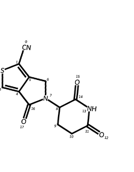 N#Cc1scc2c1CN(C1CCC(=O)NC1=O)C2=O